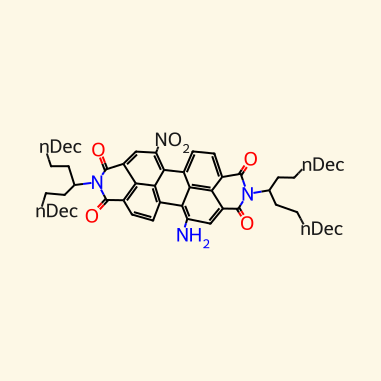 CCCCCCCCCCCCC(CCCCCCCCCCCC)N1C(=O)c2ccc3c4c([N+](=O)[O-])cc5c6c(ccc(c7c(N)cc(c2c37)C1=O)c64)C(=O)N(C(CCCCCCCCCCCC)CCCCCCCCCCCC)C5=O